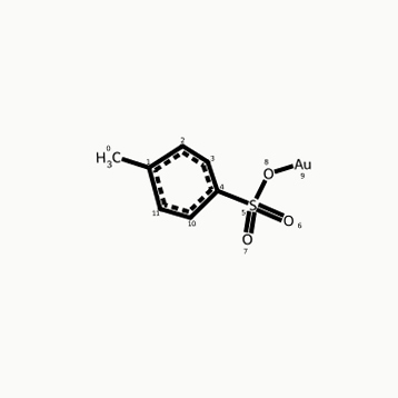 Cc1ccc(S(=O)(=O)[O][Au])cc1